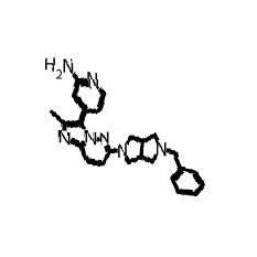 Cc1nc2ccc(N3CC4CN(Cc5ccccc5)CC4C3)nn2c1-c1ccnc(N)c1